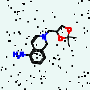 CC1(C)OCC(CN2C=Cc3c(N)cccc3C2)O1